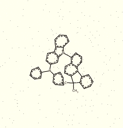 CC1(C)c2ccccc2-c2c1ccc1c(-n3c4ccccc4c4ccc(N(c5ccccc5)c5ccccc5)cc43)cccc21